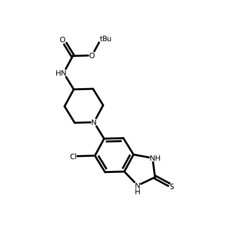 CC(C)(C)OC(=O)NC1CCN(c2cc3[nH]c(=S)[nH]c3cc2Cl)CC1